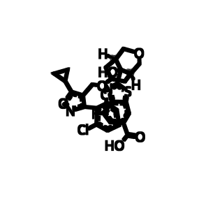 O=C(O)c1cc(F)c2nc(C3(O)[C@@H]4COC[C@H]3CC(OCc3c(-c5c(Cl)cccc5Cl)noc3C3CC3)C4)sc2c1